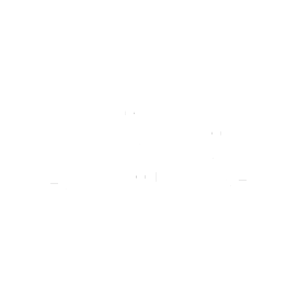 O=C(O)CCP(=O)(O)CCO